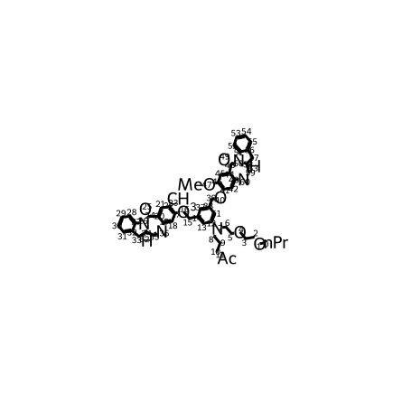 CCCOCCOCCN(CCCC(C)=O)c1cc(COc2cc3c(cc2C)C(=O)N2c4ccccc4C[C@H]2C=N3)cc(COc2cc3c(cc2OC)C(=O)N2c4ccccc4C[C@H]2C=N3)c1